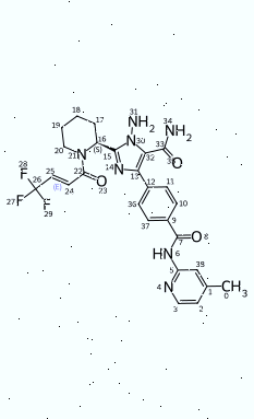 Cc1ccnc(NC(=O)c2ccc(-c3nc([C@@H]4CCCCN4C(=O)/C=C/C(F)(F)F)n(N)c3C(N)=O)cc2)c1